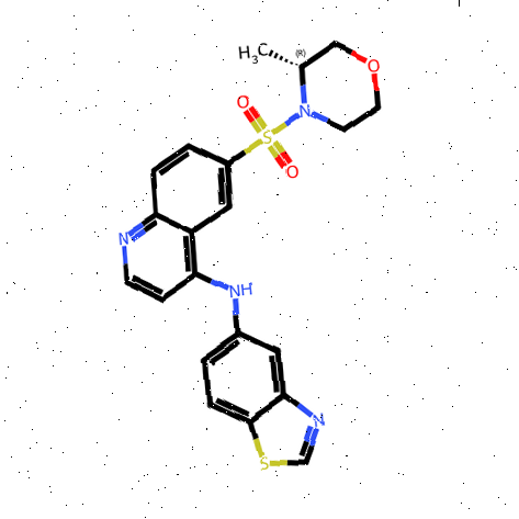 C[C@@H]1COCCN1S(=O)(=O)c1ccc2nccc(Nc3ccc4scnc4c3)c2c1